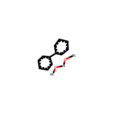 CC[O][Ti][O]CC.c1ccc(-c2ccccc2)cc1